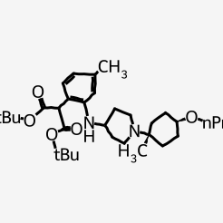 CCCO[C@H]1CC[C@](C)(N2CCC(Nc3cc(C)ccc3C(C(=O)OC(C)(C)C)C(=O)OC(C)(C)C)CC2)CC1